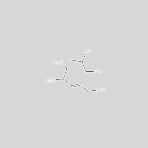 CC(O)CN.CCCCCCCCCCC=CC(CC(=O)O)C(=O)O